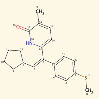 CSc1ccc(/C(=C/C2CCCC2)c2ccc(C)c(=O)[nH]2)cc1